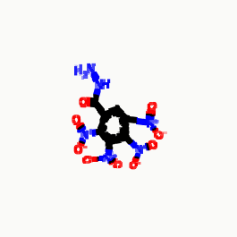 NNC(=O)c1cc([N+](=O)[O-])c([N+](=O)[O-])c([N+](=O)[O-])c1[N+](=O)[O-]